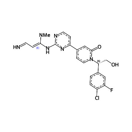 CN/C(=C\C=N)Nc1nccc(-c2ccn([C@H](CO)c3ccc(Cl)c(F)c3)c(=O)c2)n1